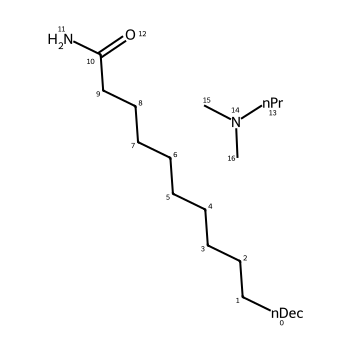 CCCCCCCCCCCCCCCCCCCC(N)=O.CCCN(C)C